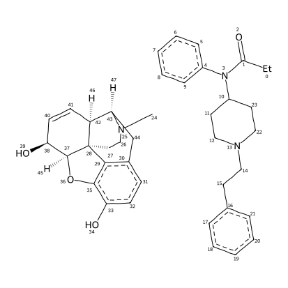 CCC(=O)N(c1ccccc1)C1CCN(CCc2ccccc2)CC1.CN1CC[C@]23c4c5ccc(O)c4O[C@H]2[C@@H](O)C=C[C@H]3[C@H]1C5